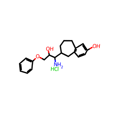 Cl.NC(C(O)COc1ccccc1)C1CCCc2cc(O)ccc2C1